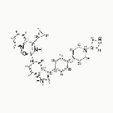 O=C(NC(c1ccccn1)C1CC1)c1ccc2[nH]nc(-c3ccc(N4CCN(C5COC5)CC4)cc3)c2c1